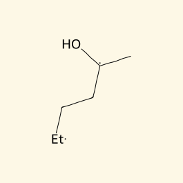 C[CH]CC[C](C)O